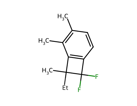 CCC1(C)c2c(ccc(C)c2C)C1(F)F